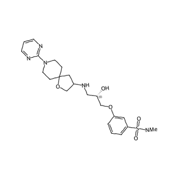 CNS(=O)(=O)c1cccc(OC[C@@H](O)CNC2COC3(CCN(c4ncccn4)CC3)C2)c1